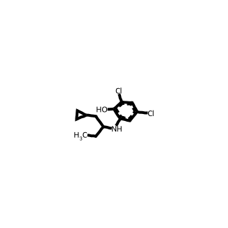 CCC(CC1CC1)Nc1cc(Cl)cc(Cl)c1O